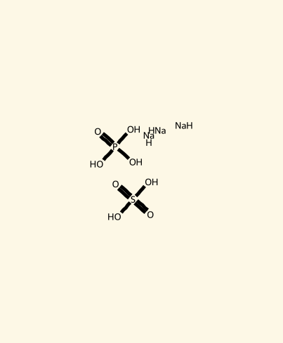 O=P(O)(O)O.O=S(=O)(O)O.[NaH].[NaH].[NaH]